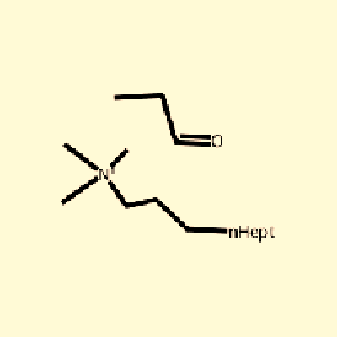 CCC=O.CCCCCCCCCC[N+](C)(C)C